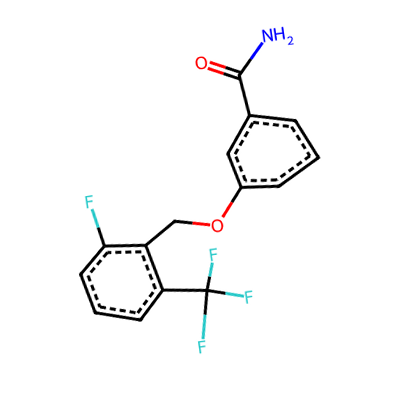 NC(=O)c1cccc(OCc2c(F)cccc2C(F)(F)F)c1